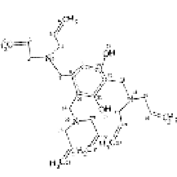 C=CCN(CC=C)Cc1cc(O)c(CN(CC=C)CC=C)c(O)c1CN(CC=C)CC=C